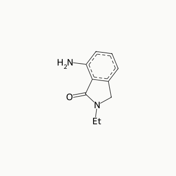 CCN1Cc2cccc(N)c2C1=O